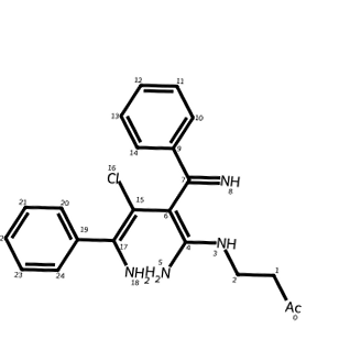 CC(=O)CCN/C(N)=C(C(=N)c1ccccc1)/C(Cl)=C(\N)c1ccccc1